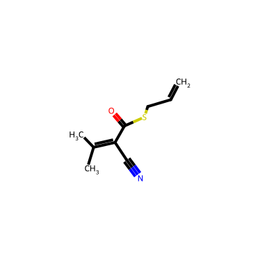 C=CCSC(=O)C(C#N)=C(C)C